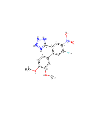 COc1ccc(-c2cc(F)c([N+](=O)[O-])cc2-c2nnn[nH]2)cc1OC